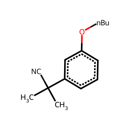 CCCCOc1cccc(C(C)(C)C#N)c1